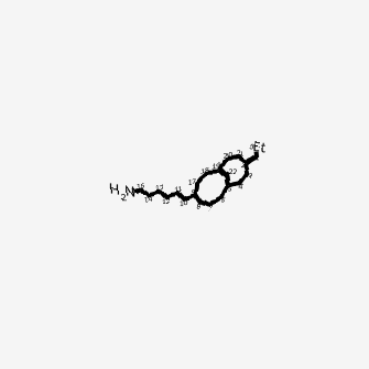 CC/C=C1/CCC2CCCC(CCCCCCN)CCC(CC1)C2